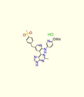 COc1ccc(Nc2ncc(Cc3ccc(S(C)(=O)=O)cc3)cc2-c2nc(C)nc3[nH]cnc23)cn1.Cl